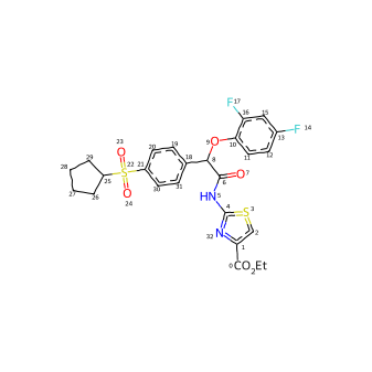 CCOC(=O)c1csc(NC(=O)C(Oc2ccc(F)cc2F)c2ccc(S(=O)(=O)C3CCCC3)cc2)n1